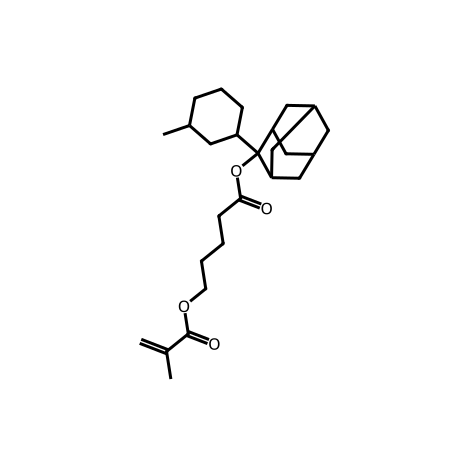 C=C(C)C(=O)OCCCCC(=O)OC1(C2CCCC(C)C2)C2CC3CC(C2)CC1C3